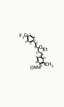 CCOC(/C=C/c1ccc(C(F)(F)F)cc1)CSc1ccc(OC)c(C)c1